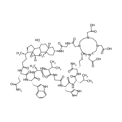 CSCC[C@H](NC(=O)[C@H](CC(C)C)NC(=O)[C@H](Cc1c[nH]cn1)NC(=O)CNC(=O)[C@@H](NC(=O)[C@H](C)NC(=O)[C@H](Cc1c[nH]c2ccccc12)NC(=O)[C@H](CCC(N)=O)NC(=O)CC[C@@H](C)[C@H]1CCC2C3C(C[C@@H]4O[C@@]241)[C@@]1(C)CC[C@H](NC(=O)CNC(=O)CN2CCN(CC(=O)O)CCN(CC(=O)O)CCN(CC(=O)O)CC2)C[C@H]1C[C@H]3O)C(C)C)C(N)=O